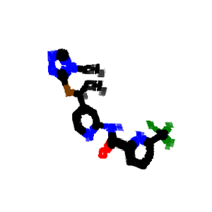 C[C@H](Sc1nncn1C)c1ccnc(NC(=O)c2cccc(C(F)(F)F)n2)c1